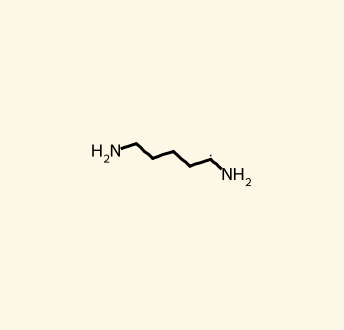 N[CH]CCCCN